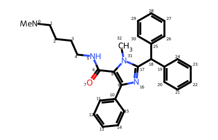 CNCCCCNC(=O)c1c(-c2ccccc2)nc(C(c2ccccc2)c2ccccc2)n1C